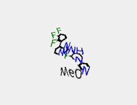 COc1cc(N2CCC(Nc3nc4c(-c5ccc(F)c(F)c5F)cccn4n3)C(F)C2)ccn1